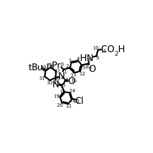 CCCC(c1ccc(C(=O)NCCC(=O)O)cc1)N1C(=O)C(c2cccc(Cl)c2)=NC12CCC(C(C)(C)C)CC2